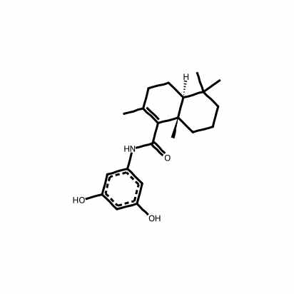 CC1=C(C(=O)Nc2cc(O)cc(O)c2)[C@@]2(C)CCCC(C)(C)[C@@H]2CC1